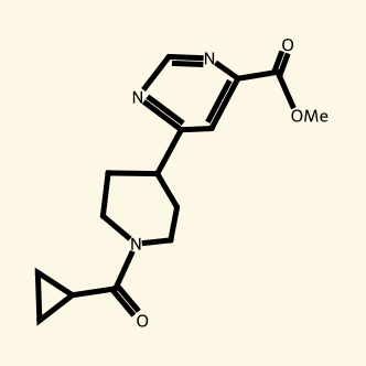 COC(=O)c1cc(C2CCN(C(=O)C3CC3)CC2)ncn1